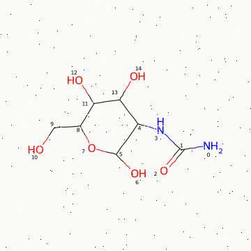 NC(=O)NC1C(O)OC(CO)C(O)C1O